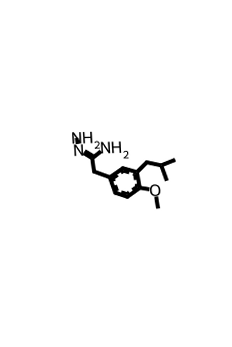 COc1ccc(C/C(N)=N/N)cc1CC(C)C